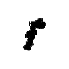 COC(=O)N[C@H](C(=O)N1C[C@@H](C)C[C@H]1c1nc(-c2ccc(-c3cc(F)c(NC(=O)c4ccc(N5CCN(C(=O)C(C)(C)C)C[C@H]5C)nc4)cc3Cl)cc2)c[nH]1)C(C)C